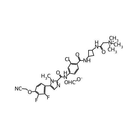 Cn1c(-c2ccc(OCC#N)c(F)c2F)cnc1C(=O)Nc1ccc(C(=O)NC2CC(NC(=O)C[N+](C)(C)C)C2)c(Cl)c1.O=C[O-]